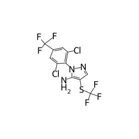 Nc1c(SC(F)(F)F)cnn1-c1c(Cl)cc(C(F)(F)F)cc1Cl